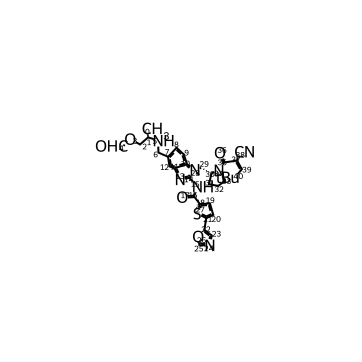 C[C@H](COC=O)NCc1ccc2c(c1)nc(NC(=O)c1ccc(-c3cnco3)s1)n2C[C@H]1CCCN1C(=O)C(C#N)=CC(C)(C)C